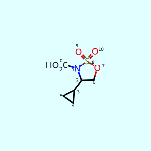 O=C(O)N1C(C2CC2)COS1(=O)=O